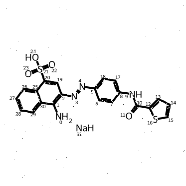 Nc1c(/N=N/c2ccc(NC(=O)c3cccs3)cc2)cc(S(=O)(=O)O)c2ccccc12.[NaH]